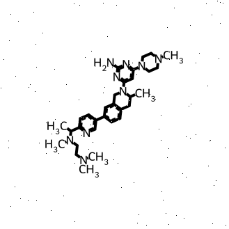 CC(c1ccc(-c2ccc3c(c2)CN(c2cc(N4CCN(C)CC4)nc(N)n2)C(C)C3)cn1)N(C)CCN(C)C